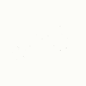 O=C(c1ccc(C2=NCCN2)cc1)c1ccc(Cl)cc1Cl